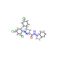 O=C(NN1CCc2ccccc21)C1=NN(c2ccc(Cl)cc2Cl)C(c2ccc(Cl)cc2)C1